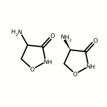 NC1CONC1=O.N[C@@H]1CONC1=O